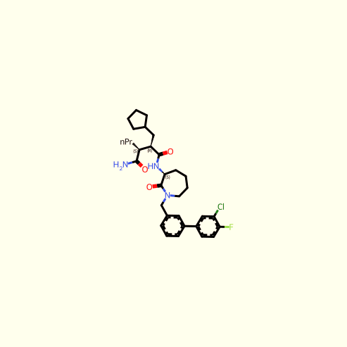 CCC[C@H](C(N)=O)[C@@H](CC1CCCC1)C(=O)N[C@H]1CCCCN(Cc2cccc(-c3ccc(F)c(Cl)c3)c2)C1=O